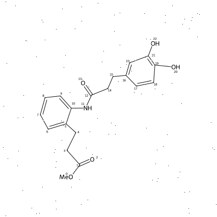 COC(=O)CCc1ccccc1NC(=O)CCc1ccc(O)c(O)c1